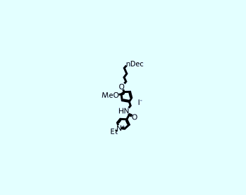 CCCCCCCCCCCCCCOc1ccc(CNC(=O)c2cc[n+](CC)cc2)cc1OC.[I-]